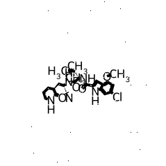 COc1cc(Cl)cc2[nH]c(C(=O)N[C@@H](CC(C)(C)C)C(=O)N[C@H](C#N)C[C@@H]3CCCNC3=O)cc12